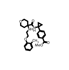 COC(=O)c1ccc(C2(NC(=O)C3(NCCOc4ccccc4C)CCOCC3)CC2)cc1